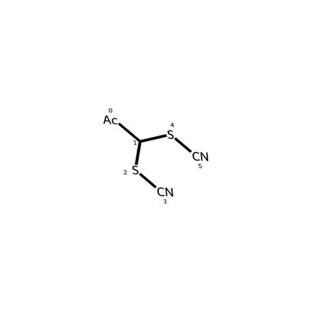 CC(=O)C(SC#N)SC#N